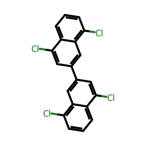 Clc1cc(-c2cc(Cl)c3cccc(Cl)c3c2)cc2c(Cl)cccc12